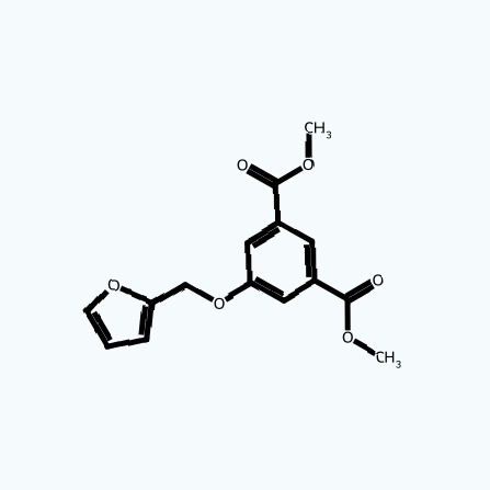 COC(=O)c1cc(OCc2ccco2)cc(C(=O)OC)c1